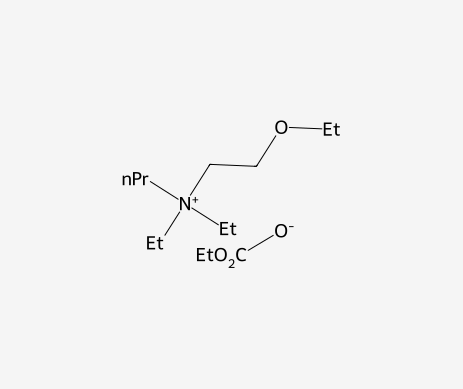 CCC[N+](CC)(CC)CCOCC.CCOC(=O)[O-]